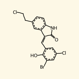 O=C1Nc2ccc(CCCl)cc2C1=Cc1cc(Cl)cc(Br)c1O